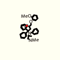 CNCC(C)(C)N(c1ccccc1)C(CC(O)COc1ccccc1OC)(c1ccccc1)c1ccccc1